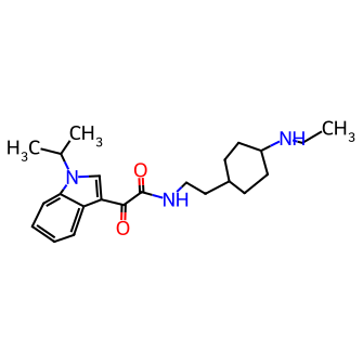 CCNC1CCC(CCNC(=O)C(=O)c2cn(C(C)C)c3ccccc23)CC1